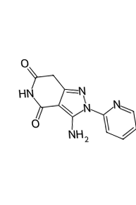 Nc1c2c(nn1-c1ccccn1)CC(=O)NC2=O